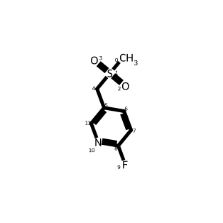 CS(=O)(=O)Cc1ccc(F)nc1